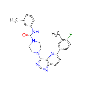 Cc1cccc(NC(=O)N2CCN(c3ncnc4ccc(-c5ccc(F)c(C)c5)nc34)CC2)c1